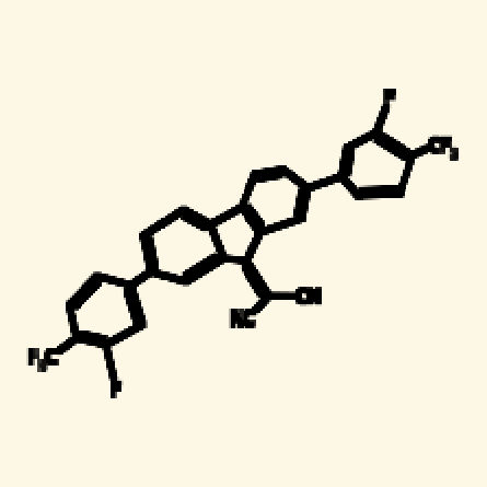 N#CC(C#N)=C1c2cc(-c3ccc(C(F)(F)F)c(F)c3)ccc2-c2ccc(-c3ccc(C(F)(F)F)c(F)c3)cc21